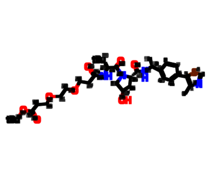 Cc1ncsc1-c1ccc([C@H](C)NC(=O)[C@@H]2C[C@@H](O)CN2C(=O)[C@@H](NC(=O)CCOCCOCCC(=O)OC(C)(C)C)C(C)(C)C)cc1